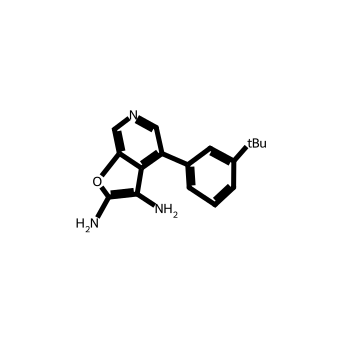 CC(C)(C)c1cccc(-c2cncc3oc(N)c(N)c23)c1